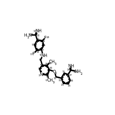 Cc1ncc(CNc2cc(F)c(C(=N)N)cc2F)c(C)c1OCc1cccc(C(=N)N)c1